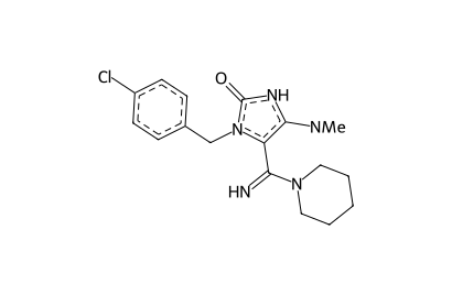 CNc1[nH]c(=O)n(Cc2ccc(Cl)cc2)c1C(=N)N1CCCCC1